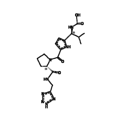 CC(C)[C@H](NC(=O)O)c1ccc(C(=O)N2CCC[C@H]2C(=O)NCc2nn[nH]n2)[nH]1